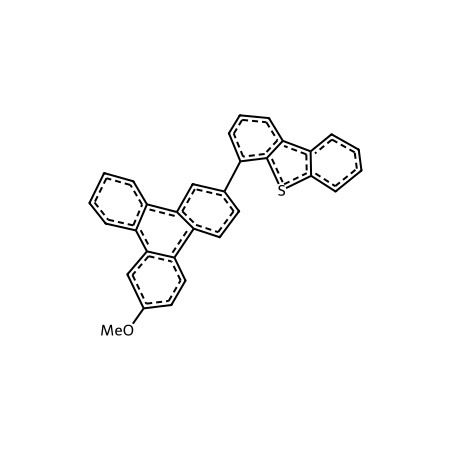 COc1ccc2c3ccc(-c4cccc5c4sc4ccccc45)cc3c3ccccc3c2c1